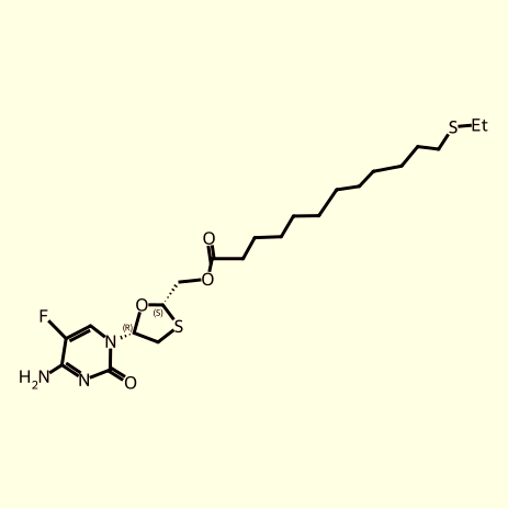 CCSCCCCCCCCCCCC(=O)OC[C@H]1O[C@@H](n2cc(F)c(N)nc2=O)CS1